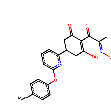 CCON=C(C)C(=O)C1=C(O)CC(c2cccc(Oc3ccc(SC)cc3)n2)CC1=O